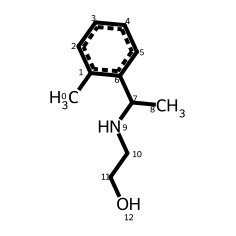 Cc1ccccc1C(C)NCCO